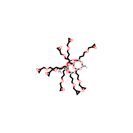 C(COCC1CO1)C[SiH2]O[Si]1(CCCOCC2CO2)O[Si]2(CCCOCC3CC3)O[Si]3(CCCOCC4CO4)O[SiH2]O[Si]4(CCCOCC5CO5)O[Si](CCCOCC5CO5)(O1)O[Si](CCCOCC1CO1)(O2)O[Si](CCCOCC1CO1)(O3)O4